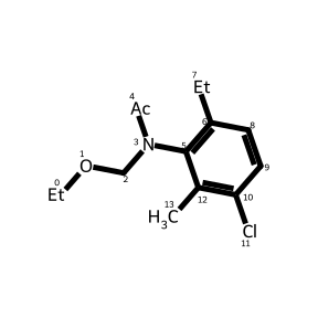 CCOCN(C(C)=O)c1c(CC)ccc(Cl)c1C